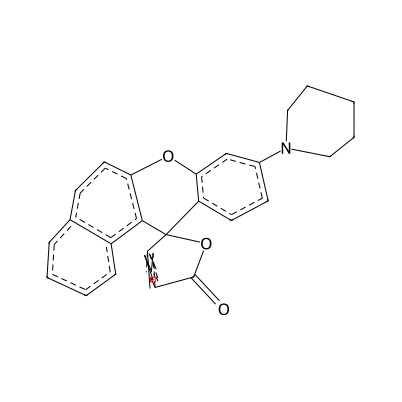 O=C1OC2(c3ccc(N4CCCCC4)cc3Oc3ccc4ccccc4c32)c2ccccc21